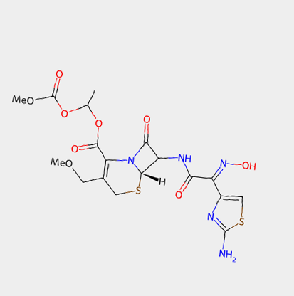 COCC1=C(C(=O)OC(C)OC(=O)OC)N2C(=O)C(NC(=O)C(=NO)c3csc(N)n3)[C@@H]2SC1